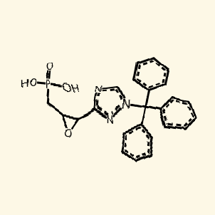 O=P(O)(O)CC1OC1c1ncn(C(c2ccccc2)(c2ccccc2)c2ccccc2)n1